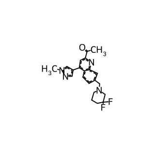 CC(=O)c1cc(-c2cnn(C)c2)c2ccc(CN3CCCC(F)(F)C3)cc2n1